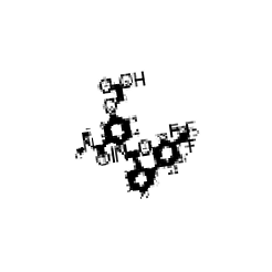 CN(C)C(=O)c1cc(OCC(=O)O)ccc1NC(=O)c1ccccc1-c1ccc(C(F)(F)F)cc1